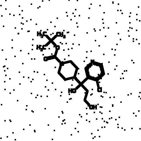 CC(C)(C)OC(=O)N1CCC(C(O)(CCO)c2cnccc2Cl)CC1